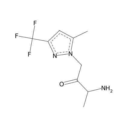 Cc1cc(C(F)(F)F)nn1CC(=O)C(C)N